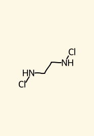 ClNCCNCl